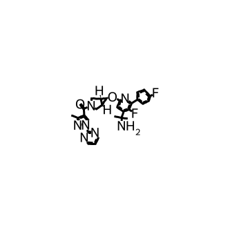 Cc1nn(-c2ncccn2)cc1C(=O)N1C[C@@H]2[C@H](C1)[C@@H]2Oc1cc(C(C)(C)N)c(F)c(-c2ccc(F)cc2)n1